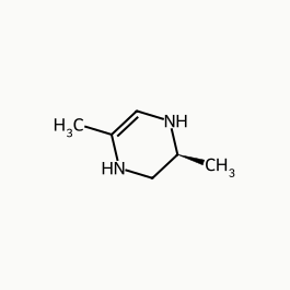 CC1=CN[C@@H](C)CN1